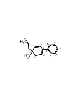 C=CCC1(C)C=CC(c2ccccc2)=CC1